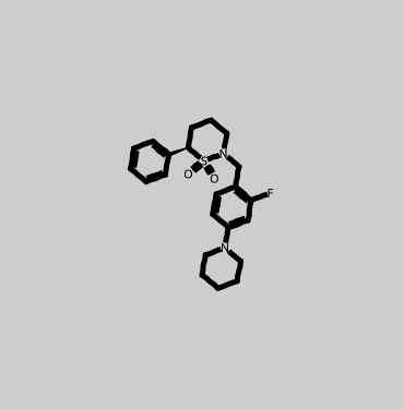 O=S1(=O)[C@@H](c2ccccc2)CCCN1Cc1ccc(N2CCCCC2)cc1F